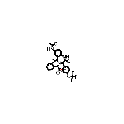 CC(=O)Nc1ccc2c(c1)C(=O)N(C(C(=O)O)c1ccccc1)C(c1ccc(OC(F)(F)F)cc1)C(=O)N2